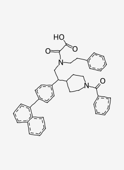 O=C(O)C(=O)N(CCc1ccccc1)CC(c1ccc(-c2cccc3ccccc23)cc1)C1CCN(C(=O)c2ccccc2)CC1